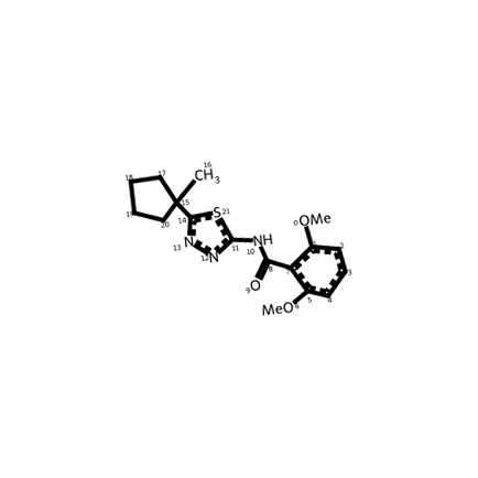 COc1cccc(OC)c1C(=O)Nc1nnc(C2(C)CCCC2)s1